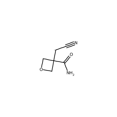 N#C[CH]C1(C(N)=O)COC1